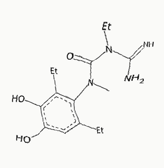 CCc1cc(O)c(O)c(CC)c1N(C)C(=O)N(CC)C(=N)N